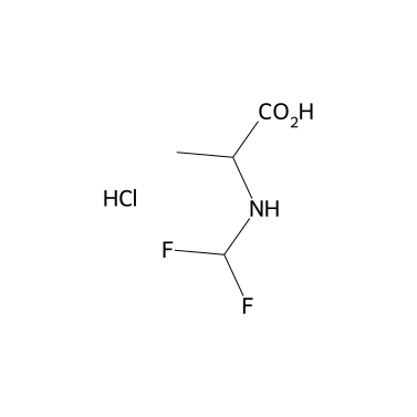 CC(NC(F)F)C(=O)O.Cl